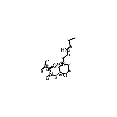 CCCNCCN1CCO[C@H](CN(C)C(=O)C(C)C)C1